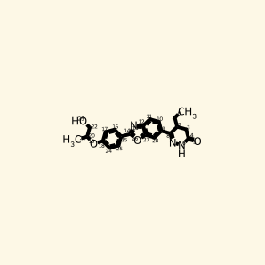 CCC1CC(=O)NN=C1c1ccc2nc(-c3ccc(OC(C)CO)cc3)oc2c1